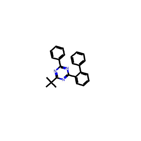 CC(C)(C)c1nc(-c2ccccc2)nc(-c2ccccc2-c2ccccc2)n1